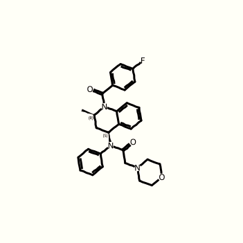 C[C@@H]1C[C@H](N(C(=O)CN2CCOCC2)c2ccccc2)c2ccccc2N1C(=O)c1ccc(F)cc1